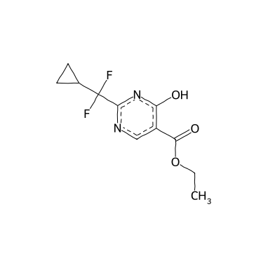 CCOC(=O)c1cnc(C(F)(F)C2CC2)nc1O